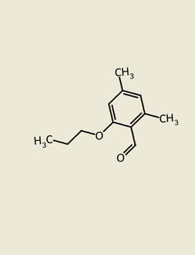 CCCOc1cc(C)cc(C)c1C=O